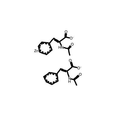 CC(=O)NC(=Cc1ccccc1)C(=O)[O-].CC(=O)NC(=Cc1ccccc1)C(=O)[O-].[Zn+2]